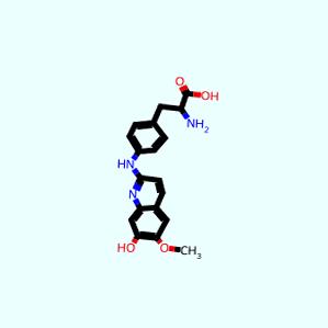 COc1cc2ccc(Nc3ccc(CC(N)C(=O)O)cc3)nc2cc1O